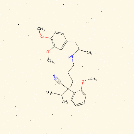 COc1ccc(CC(C)NCCCC(C#N)(c2ccccc2OC)C(C)C)cc1OC